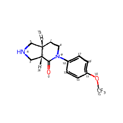 O=C1[C@@H]2CNC[C@@H]2CCN1c1ccc(OC(F)(F)F)cc1